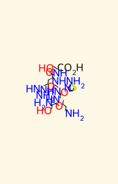 N=C(N)NCCC[C@H](NC(=O)CNC(=O)[C@H](CCCCN)NC(=O)[C@@H](N)CO)C(=O)N[C@@H](CO)C(=O)O.Nc1nccs1